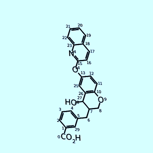 O=C(O)c1cccc(CC2COc3ccc(Oc4ccc5ccccc5n4)cc3C2O)c1